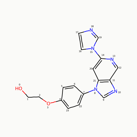 OCCOc1ccc(-n2cnc3cnc(-n4ccnc4)cc32)cc1